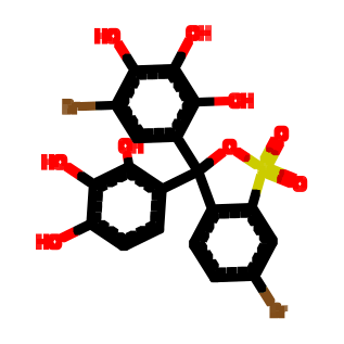 O=S1(=O)OC(c2ccc(O)c(O)c2O)(c2cc(Br)c(O)c(O)c2O)c2ccc(Br)cc21